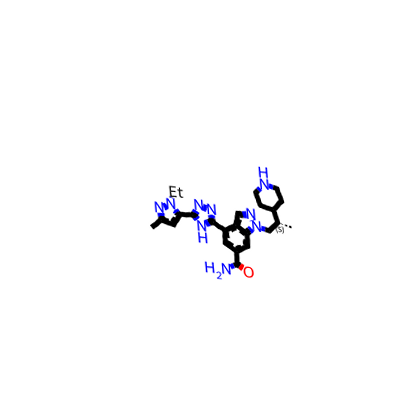 CCn1nc(C)cc1-c1nnc(-c2cc(C(N)=O)cc3c2cnn3C[C@@H](C)C2CCNCC2)[nH]1